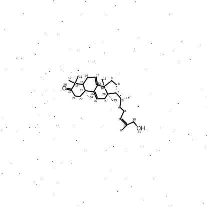 CC(=CCC[C@@H](C)[C@H]1CC[C@@]2(C)C3=CCC4C(C)(C)C(=O)CC[C@]4(C)C3=CC[C@]12C)CO